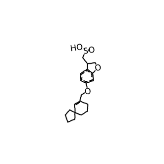 O=S(O)CC1COc2cc(OCC3=CC4(CCCC4)CCC3)ccc21